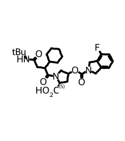 CC(C)(C)NC(=O)CC(C(=O)N1CC(OC(=O)N2Cc3cccc(F)c3C2)C[C@H]1C(=O)O)C1CCCCC1